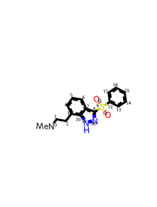 CNCCc1cccc2c(S(=O)(=O)c3ccccc3)n[nH]c12